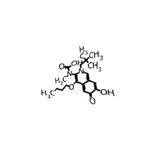 CCCCOc1c2cc(=O)c(O)cc-2cn(CC(C)(C)C)c1N(C)C(=O)O